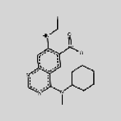 CCNc1cc2ncnc(N(C)C3CCCCC3)c2cc1[N+](=O)[O-]